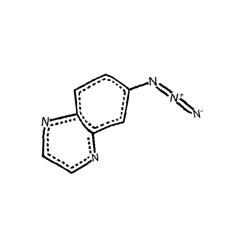 [N-]=[N+]=Nc1ccc2nccnc2c1